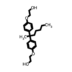 CCCCCC(C)(c1ccc(OCCO)cc1)c1ccc(OCCO)cc1